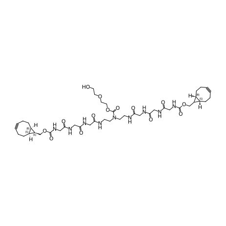 O=C(CNC(=O)CNC(=O)CNC(=O)OCC1[C@H]2CCC#CCC[C@@H]12)NCCN(CCNC(=O)CNC(=O)CNC(=O)CNC(=O)OC[C@@H]1[C@@H]2CCC#CCC[C@@H]21)C(=O)OCCOCCO